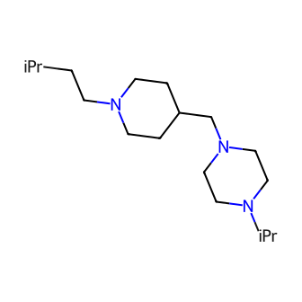 CC(C)CCN1CCC(CN2CCN(C(C)C)CC2)CC1